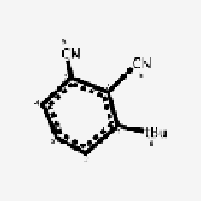 CC(C)(C)c1cccc(C#N)c1C#N